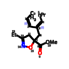 C/C=C\C(=C/CCC)CC1(C(=O)OC)CC(CC)=NO1